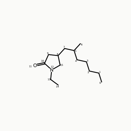 CCCCCC(C)CC1CC(=O)N(CC)C1